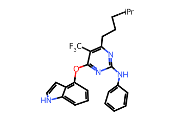 CC(C)CCCc1nc(Nc2ccccc2)nc(Oc2cccc3[nH]ccc23)c1C(F)(F)F